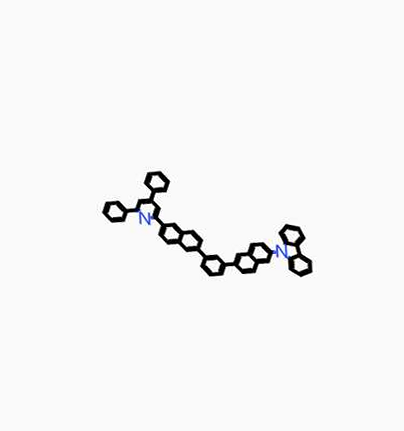 c1ccc(-c2cc(-c3ccccc3)nc(-c3ccc4cc(-c5cccc(-c6ccc7cc(-n8c9ccccc9c9ccccc98)ccc7c6)c5)ccc4c3)c2)cc1